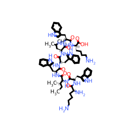 CC[C@H](C)[C@H](NC(=O)[C@H](Cc1c[nH]c2ccccc12)NC(=O)[C@@H](N)CCCCN)C(=O)N[C@@H](Cc1c[nH]c2ccccc12)C(=O)N[C@@H](Cc1c[nH]c2ccccc12)C(=O)N[C@@H](CC(C)C)C(=O)N[C@@H](Cc1c[nH]c2ccccc12)C(=O)N[C@@H](CCCCN)C(=O)O